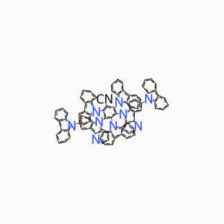 N#Cc1c(-n2c3ccccc3c3ccccc32)c(-n2c3ccc(-n4c5ccccc5c5ccccc54)cc3c3ncccc32)c(-n2c3ccccc3c3ccccc32)c(-n2c3ccc(-n4c5ccccc5c5ccccc54)cc3c3ncccc32)c1-n1c2ccccc2c2ccccc21